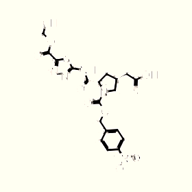 CCOC(=O)c1nnc(NC(=O)[C@@H]2C[C@@H](CC(O)=S)CN2C(=O)OCc2ccc([N+](=O)[O-])cc2)s1